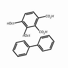 CCCCCCCCc1ccc(C(=O)O)c(C(=O)O)c1CCCCCCCC.c1ccc(-c2ccccc2)cc1